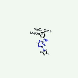 COc1cc(Nc2ncnc(-n3cccc3)n2)cc(OC)c1OC